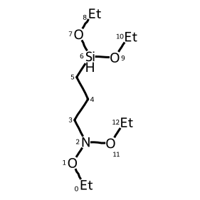 CCON(CCC[SiH](OCC)OCC)OCC